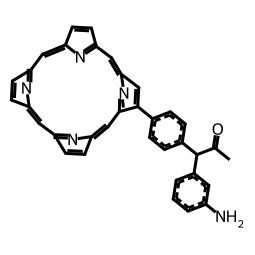 CC(=O)C(c1ccc(C2=CC3=CC4=NC(=CC5=NC(=CC6=NC(=CC2=N3)C=C6)C=C5)C=C4)cc1)c1cccc(N)c1